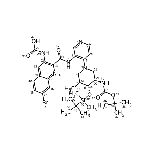 C[C@H]1CN(c2ccncc2NC(=O)c2nc3cc(Br)ccc3cc2NC(=O)O)C[C@@H](NC(=O)OC(C)(C)C)[C@@H]1O[Si](C)(C)C(C)(C)C